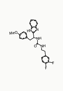 COc1ccc(CC(NC(=O)NCCc2ccc(F)c(F)c2)c2nc3ccccc3[nH]2)cc1